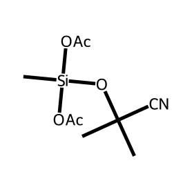 CC(=O)O[Si](C)(OC(C)=O)OC(C)(C)C#N